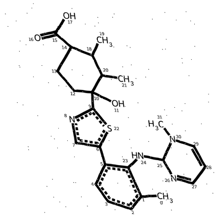 Cc1cccc(-c2cnc(C3(O)CCC(C(=O)O)C(C)C3C)s2)c1NC1N=CC=CN1C